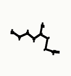 CCCCCCCCC(CC)OOOCC